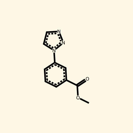 COC(=O)c1cccc(-n2ccnn2)c1